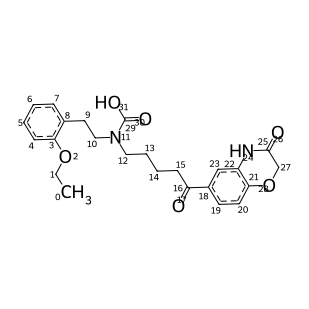 CCOc1ccccc1CCN(CCCCC(=O)c1ccc2c(c1)NC(=O)CO2)C(=O)O